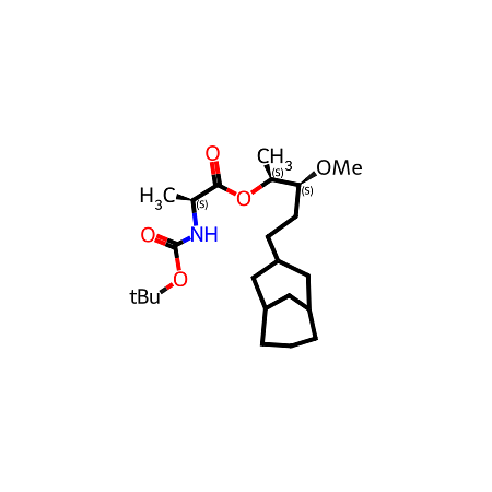 CO[C@@H](CCC1CC2CCCC(C2)C1)[C@H](C)OC(=O)[C@H](C)NC(=O)OC(C)(C)C